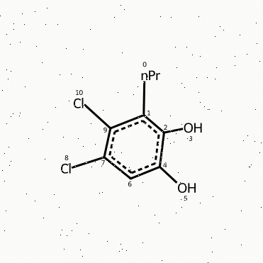 CCCc1c(O)c(O)cc(Cl)c1Cl